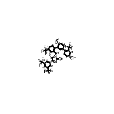 COc1ccc(-c2ccc(O)cc2C(F)(F)F)cc1-c1ccc(C(F)(F)F)cc1CN1C(=O)O[C@H](c2cc(C(F)(F)F)cc(C(F)(F)F)c2)[C@@H]1C